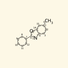 Cc1ccc2nc(-c3ccccc3)oc2c1